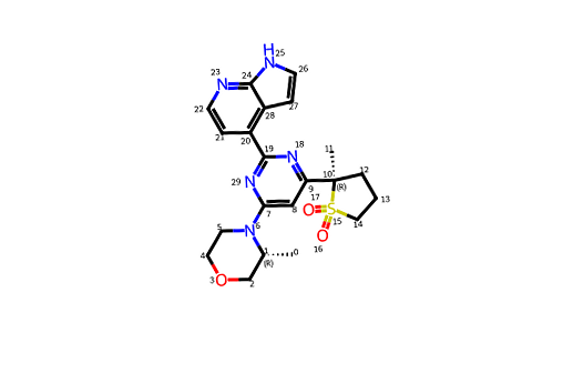 C[C@@H]1COCCN1c1cc([C@@]2(C)CCCS2(=O)=O)nc(-c2ccnc3[nH]ccc23)n1